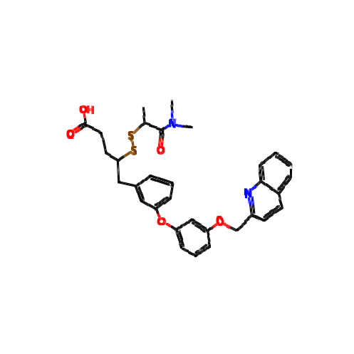 CC(SSC(CCC(=O)O)Cc1cccc(Oc2cccc(OCc3ccc4ccccc4n3)c2)c1)C(=O)N(C)C